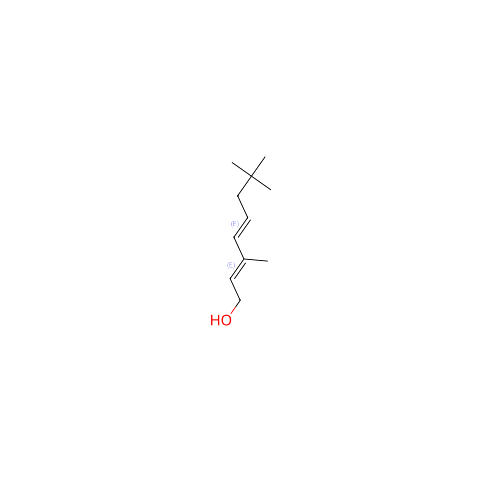 CC(/C=C/CC(C)(C)C)=C\CO